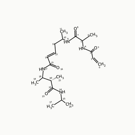 C=CC(=O)NC(C)C(=O)NC(C)C/C=C/C(=O)NC(C)[C@H](C)C(=O)NC(C)C